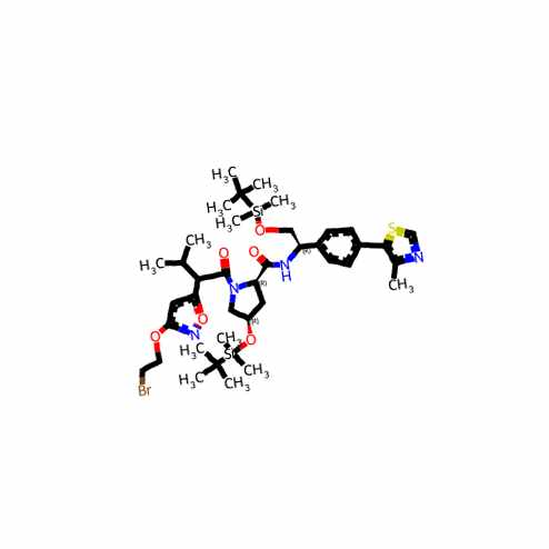 Cc1ncsc1-c1ccc([C@H](CO[Si](C)(C)C(C)(C)C)NC(=O)[C@H]2C[C@@H](O[Si](C)(C)C(C)(C)C)CN2C(=O)C(c2cc(OCCBr)no2)C(C)C)cc1